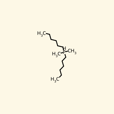 CCCCCC[PH](C)(C)CCCCCC